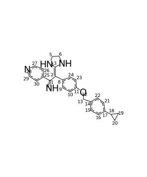 N=C(C(=C1NCCN1)c1ccc(OCc2ccc(C3CC3)cc2)cc1)c1ccncc1